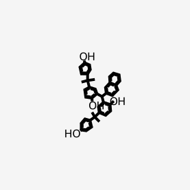 CC(C)(c1ccc(O)cc1)c1ccc(O)c(C(c2ccc3ccccc3c2)c2cc(C(C)(C)c3ccc(O)cc3)ccc2O)c1